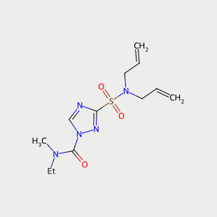 C=CCN(CC=C)S(=O)(=O)c1ncn(C(=O)N(C)CC)n1